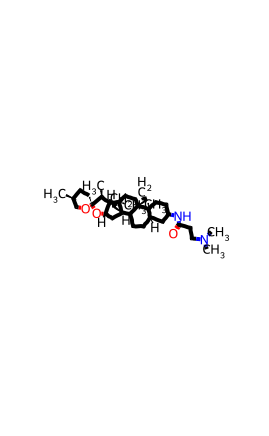 C=C[C@]12CC[C@]3(C)[C@@H]4[C@H](C[C@@]3(C=C)[C@@H]1CC[C@@H]1CC(NC(=O)CCN(C)C)CC[C@@]12C)O[C@]1(CC[C@H](C)CO1)[C@H]4C